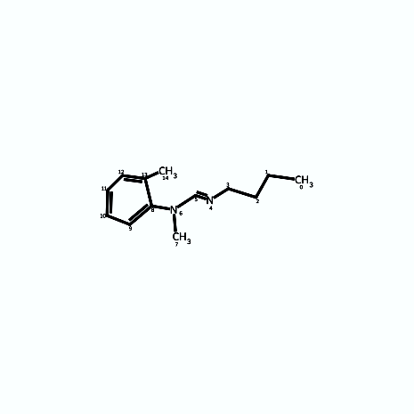 CCCCN=CN(C)c1ccccc1C